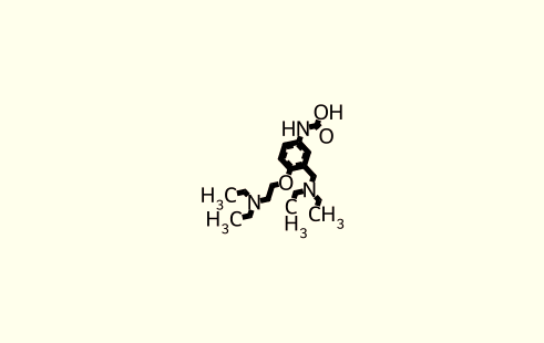 CCN(CC)CCOc1ccc(NC(=O)O)cc1CN(CC)CC